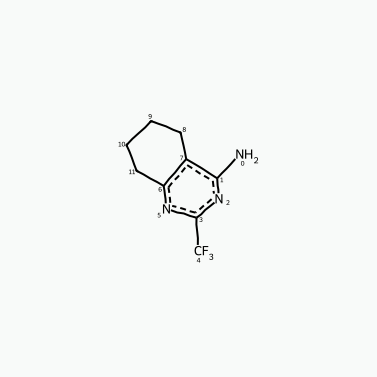 Nc1nc(C(F)(F)F)nc2c1CCCC2